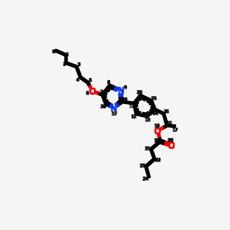 CCCCCCOc1cnc(-c2ccc(CC(C)OC(=O)CCCC)cc2)nc1